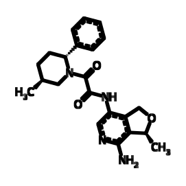 C[C@H]1CC[C@H](c2ccccc2)N(C(=O)C(=O)Nc2cnc(N)c3c2CO[C@H]3C)C1